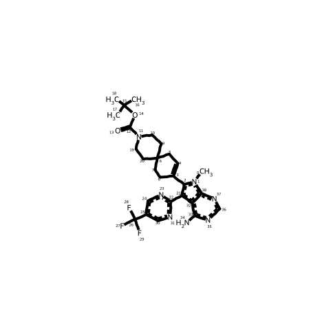 Cn1c(C2=CCC3(CC2)CCN(C(=O)OC(C)(C)C)CC3)c(-c2ncc(C(F)(F)F)cn2)c2c(N)ncnc21